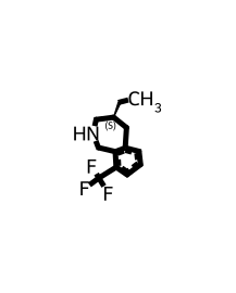 CC[C@@H]1CNCc2c(cccc2C(F)(F)F)C1